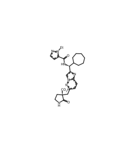 CCn1nccc1C(=O)N[C@H](c1cn2nc(C[C@@]3(C(=O)O)CCNC3=O)ccc2n1)C1CCCCCC1